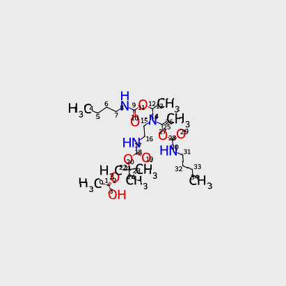 CC(=O)O.CCCCNC(=O)OC(C)N(CCNC(=O)OC(C)(C)C)C(C)OC(=O)NCCCC